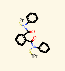 CC(C)SN(C(=O)c1ccccc1C(=O)N(SC(C)C)c1ccccc1)c1ccccc1